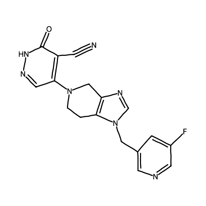 N#Cc1c(N2CCc3c(ncn3Cc3cncc(F)c3)C2)cn[nH]c1=O